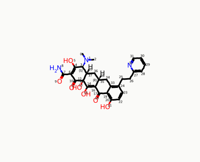 CN(C)[C@@H]1C(O)=C(C(N)=O)C(=O)[C@@]2(O)C(O)=C3C(=O)c4c(O)ccc(CCc5ccccn5)c4C[C@H]3C[C@@H]12